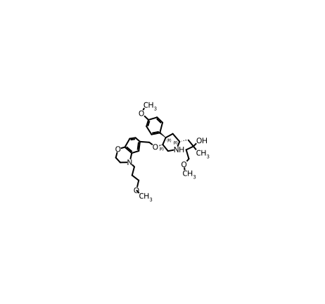 COCCCN1CCOc2ccc(CO[C@H]3CN[C@@H](CC(C)(O)CCOC)C[C@@H]3c3ccc(OC)cc3)cc21